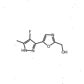 Cc1[nH]nc(-c2cnc(CO)o2)c1F